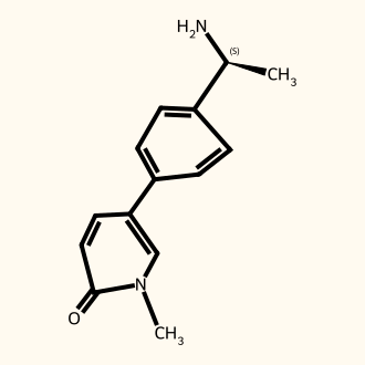 C[C@H](N)c1ccc(-c2ccc(=O)n(C)c2)cc1